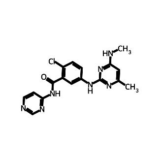 CNc1cc(C)nc(Nc2ccc(Cl)c(C(=O)Nc3ccncn3)c2)n1